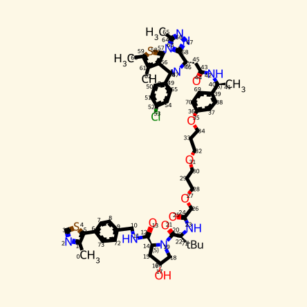 Cc1ncsc1-c1ccc(CNC(=O)[C@@H]2C[C@@H](O)CN2C(=O)[C@@H](NC(=O)COCCCOCCCOc2ccc([C@H](C)NC(=O)C[C@@H]3N=C(c4ccc(Cl)cc4)c4c(sc(C)c4C)-n4c(C)nnc43)cc2)C(C)(C)C)cc1